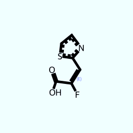 O=C(O)/C(F)=C\c1nccs1